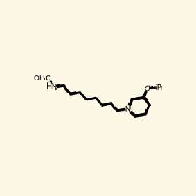 CC(C)OC1CCCN(CCCCCCCCNC=O)C1